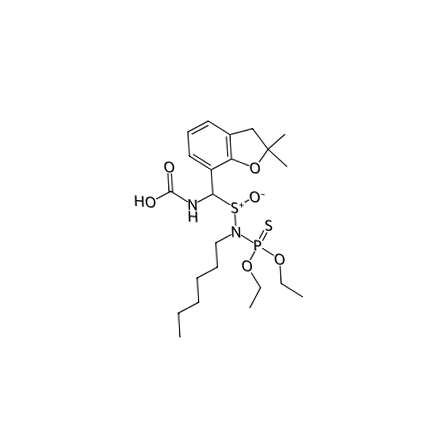 CCCCCCN([S+]([O-])C(NC(=O)O)c1cccc2c1OC(C)(C)C2)P(=S)(OCC)OCC